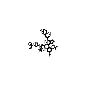 C=CC(=O)N1CC[C@H](N/C=C(\C=N)c2nc(-c3cnc4c(c3)CN(C)CC4)c3ccsc3c2-c2c(F)cc(F)cc2OC(C)C)C1